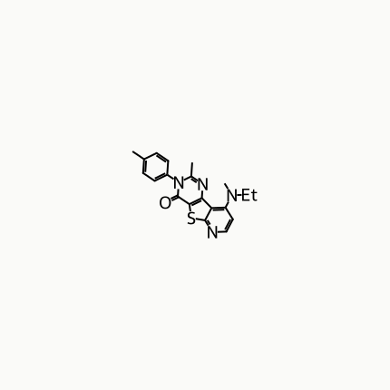 CCN(C)c1ccnc2sc3c(=O)n(-c4ccc(C)cc4)c(C)nc3c12